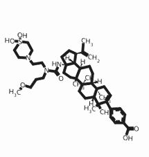 C=C(C)[C@@H]1CC[C@]2(NC(=O)N(CCCOC)CCN3CCS(O)(O)CC3)CC[C@]3(C)[C@H](CC[C@@H]4[C@@]5(C)CC=C(c6ccc(C(=O)O)cc6)C(C)(C)[C@@H]5CC[C@]43C)[C@@H]12